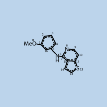 COc1cccc(Nc2nccc3sccc23)c1